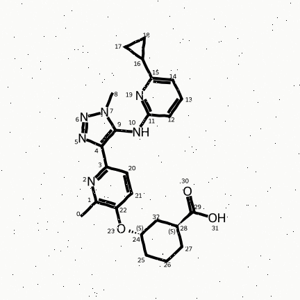 Cc1nc(-c2nnn(C)c2Nc2cccc(C3CC3)n2)ccc1O[C@H]1CCC[C@H](C(=O)O)C1